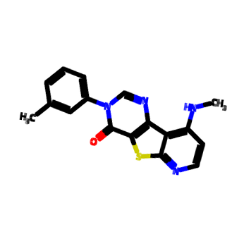 CNc1ccnc2sc3c(=O)n(-c4cccc(C)c4)cnc3c12